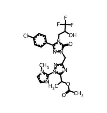 CC(=O)OC(C)c1nc(Cn2nc(-c3ccc(Cl)cc3)n(CC(O)C(F)(F)F)c2=O)nn1-c1nccn1C